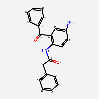 Nc1ccc(NC(=O)Cc2ccccc2)c(C(=O)c2ccccc2)c1